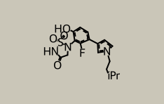 CC(C)CCn1ccc(-c2ccc(O)c(N3CC(=O)NS3(=O)=O)c2F)c1